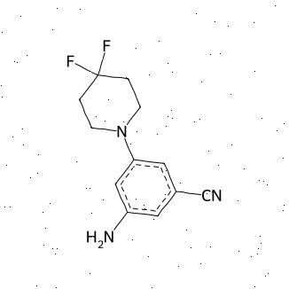 N#Cc1cc(N)cc(N2CCC(F)(F)CC2)c1